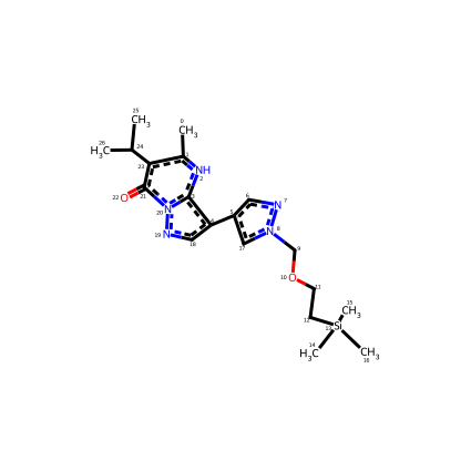 Cc1[nH]c2c(-c3cnn(COCC[Si](C)(C)C)c3)cnn2c(=O)c1C(C)C